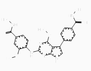 C=C(NC)c1ccc(-c2c[nH]c3nc(Nc4ccc(C(=O)NC)cc4OC)nc(OC)c23)cc1